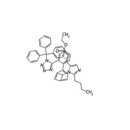 CCCCc1ncc(/C=C/C(=O)OCC)n1C1C2=CC=C(c3ccccc3-c3nnnn3C(c3ccccc3)(c3ccccc3)c3ccccc3)C1=C2